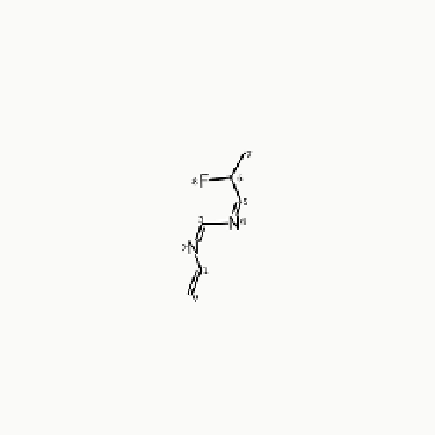 C=C/N=C\N=C/C(C)F